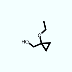 CCOC1(CO)CC1